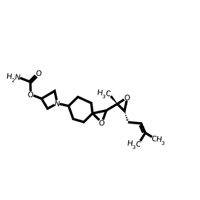 CC(C)=CC[C@H]1O[C@@]1(C)C1OC12CCC(N1CC(OC(N)=O)C1)CC2